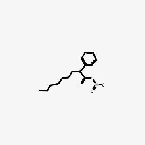 CCCCCCCC(C(=O)O[N+](=O)[O-])c1ccccc1